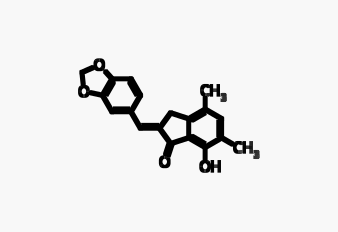 Cc1cc(C)c2c(c1O)C(=O)C(=Cc1ccc3c(c1)OCO3)C2